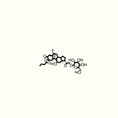 CCCC1OC2(C[C@@]3(C)C(=CC2=O)[C@H](F)CC2C4CC[C@H](C(=O)CO[C@@H]5O[C@H](CO)[C@@H](O)[C@H](O)[C@H]5O)[C@@]4(C)C[C@@H](O)[C@]23F)O1